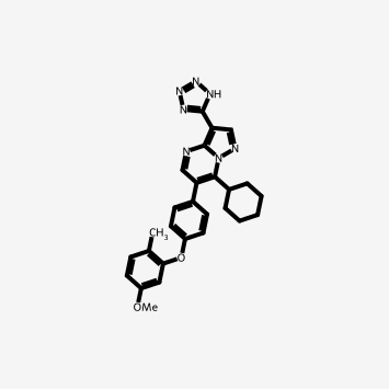 COc1ccc(C)c(Oc2ccc(-c3cnc4c(-c5nnn[nH]5)cnn4c3C3CCCCC3)cc2)c1